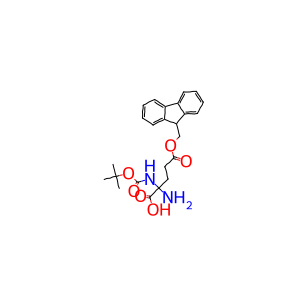 CC(C)(C)OC(=O)NC(N)(CCC(=O)OCC1c2ccccc2-c2ccccc21)C(=O)O